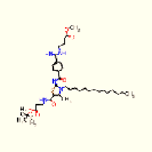 CCCCCCCCCCCCCCN1C(=NC(=O)c2ccc(C(=N)NCCCC(=O)OC)cc2)SC(C(=O)NCCC(=O)OC(C)(C)C)C1C